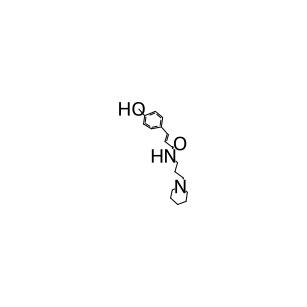 O=C(/C=C/c1ccc(O)cc1)NCCCN1CCCCC1